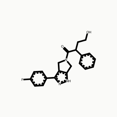 O=C(C(CCO)c1ccccc1)N1Cc2[nH]nc(-c3ccc(F)cc3)c2C1